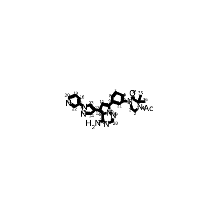 CC(=O)N1CCN(c2cccc(-c3cc(-c4cnn(-c5cccnc5)c4)c4c(N)ncnn34)c2)C(=O)C1(C)C